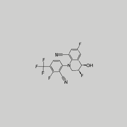 N#Cc1cc(F)cc2c1N(c1ccc(C(F)(F)F)c(F)c1C#N)C[C@H](F)[C@@H]2O